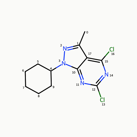 Cc1nn(C2CCCCC2)c2nc(Cl)nc(Cl)c12